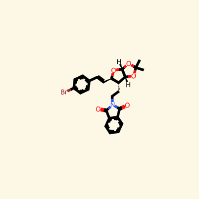 CC1(C)O[C@H]2O[C@H](C=Cc3ccc(Br)cc3)[C@@H](CCN3C(=O)c4ccccc4C3=O)[C@H]2O1